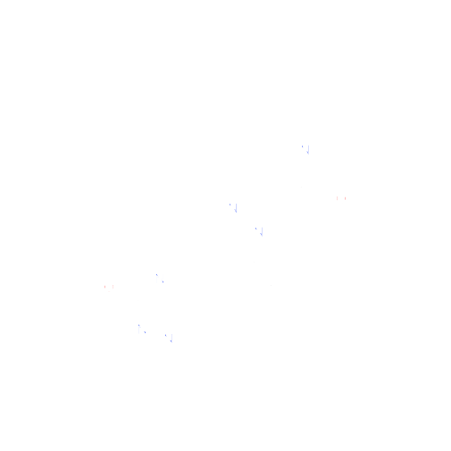 Cn1nc2cc(-c3cccc4c(C(=O)N5CCCCC5)cnn34)ccn2c1=O